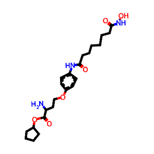 NC(CCOc1ccc(NC(=O)CCCCCCC(=O)NO)cc1)C(=O)OC1CCCC1